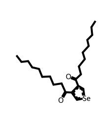 CCCCCCCCCC(=O)c1c[se]cc1C(=O)CCCCCCCCC